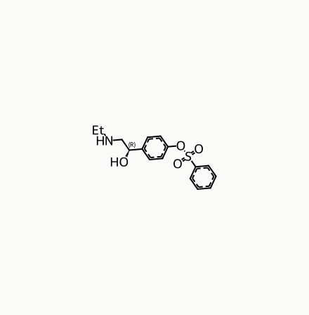 CCNC[C@H](O)c1ccc(OS(=O)(=O)c2ccccc2)cc1